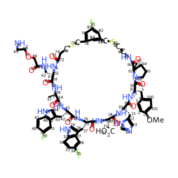 COc1ccc(C[C@@H]2NC(=O)[C@H](Cc3cnc[nH]3)NC(=O)[C@H](CC(=O)O)NC(=O)[C@H](Cc3c[nH]c4ccc(F)cc34)NC(=O)[C@H](Cc3c[nH]c4ccc(F)cc34)NC(=O)[C@@H](C)NC(=O)[C@H](CNC(=O)COCCN)NC(=O)CCSCc3cc(F)cc(c3)CSCCNC(=O)[C@]3(C)CCCN3C2=O)cc1